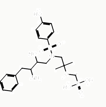 CC(C)(CN(CC(O)C(N)Cc1ccccc1)S(=O)(=O)c1ccc(O)cc1)OCP(=O)(O)O